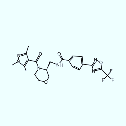 Cc1nn(C)c(C)c1C(=O)N1CCOC[C@@H]1CNC(=O)c1ccc(-c2noc(C(F)(F)F)n2)cc1